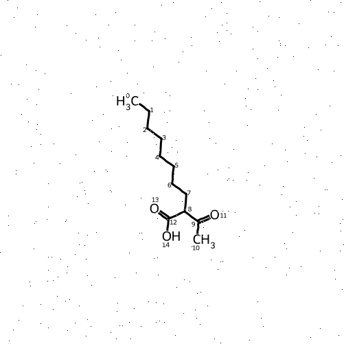 CCCCCCCCC(C(C)=O)C(=O)O